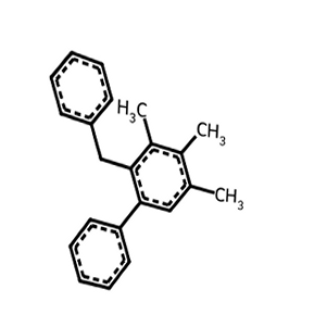 Cc1cc(-c2ccccc2)c(Cc2ccccc2)c(C)c1C